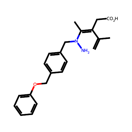 C=C(C)/C(CC(=O)O)=C(/C)N(N)Cc1ccc(COc2ccccc2)cc1